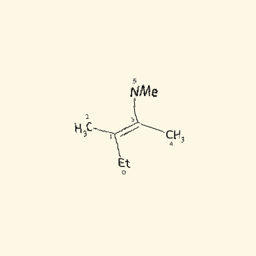 CC/C(C)=C(\C)NC